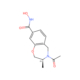 CC(=O)N1Cc2ccc(C(=O)NO)cc2OC[C@@H]1C